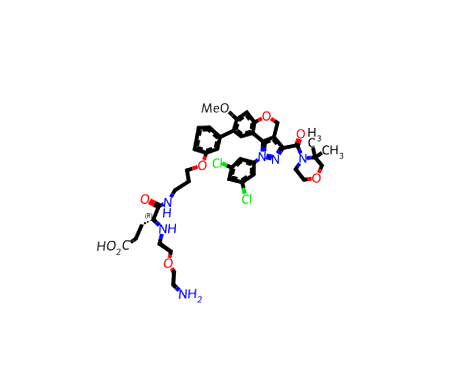 COc1cc2c(cc1-c1cccc(OCCCNC(=O)[C@@H](CCC(=O)O)NCCOCCN)c1)-c1c(c(C(=O)N3CCOCC3(C)C)nn1-c1cc(Cl)cc(Cl)c1)CO2